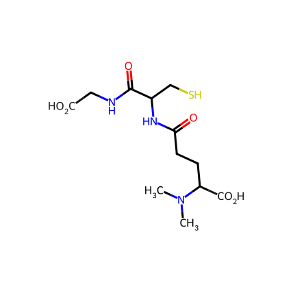 CN(C)C(CCC(=O)NC(CS)C(=O)NCC(=O)O)C(=O)O